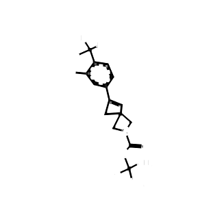 CC(C)(C)OC(=O)N1CC2(C=C(c3ccc(C(F)(F)F)c(F)c3)C2)C1